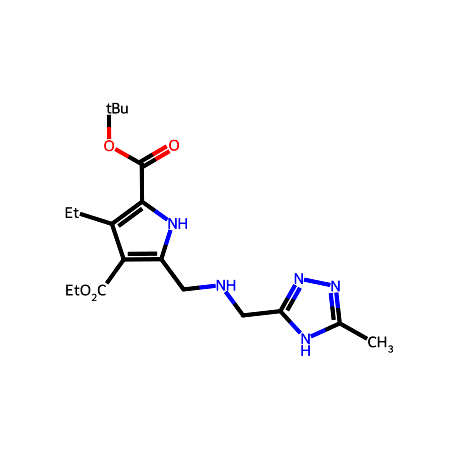 CCOC(=O)c1c(CNCc2nnc(C)[nH]2)[nH]c(C(=O)OC(C)(C)C)c1CC